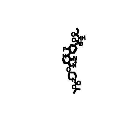 CCC(=O)NS(=O)(=O)c1ccc(-c2nccc3c(OC4CCN(C(=O)OC(C)C)CC4)ncnc23)c(F)c1